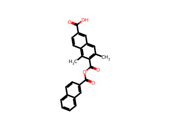 Cc1cc2cc(C(=O)O)ccc2c(C)c1C(=O)OC(=O)c1ccc2ccccc2c1